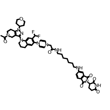 CC(=O)N1CCc2c(c(N3CCCc4cc(N5C=CN(CC(=O)NCCCCCCCNc6ccc7c(c6)C(=O)N(C6CCC(=O)NC6=O)C7=O)C=C5)c(C(F)F)cc43)nn2C2CCOCC2)C1